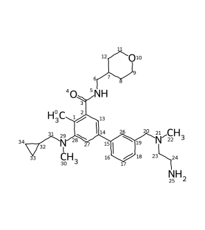 Cc1c(C(=O)NCC2CCOCC2)cc(-c2cccc(CN(C)CCN)c2)cc1N(C)CC1CC1